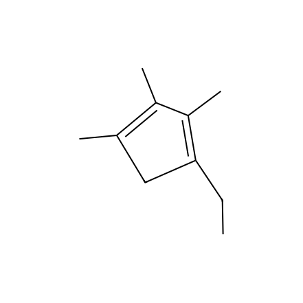 CCC1=C(C)C(C)=C(C)C1